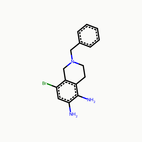 Nc1cc(Br)c2c(c1N)CCN(Cc1ccccc1)C2